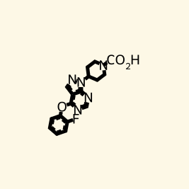 O=C(O)N1CCC(n2ncc3c(Oc4ccccc4F)ncnc32)CC1